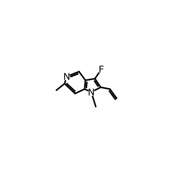 C=Cc1c(F)c2cnc(C)cc2n1C